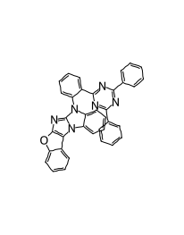 c1ccc(-c2nc(-c3ccccc3)nc(-c3ccccc3-n3c4ccccc4n4c5c(nc34)oc3ccccc35)n2)cc1